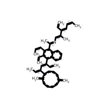 C=CC(=C\C=C/C)/C(C)=C/N=C(\C)c1c(/C=C\C)c(C=C)c(/C(C=C)=C/C(=C\C)c2cccc(=C)ccccc2=C)c2ccccc12